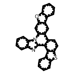 c1ccc2c(c1)nc1c3c(ccc4sc5ccccc5c43)c3cc4c(cc3n21)oc1ccccc14